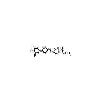 CC[SiH2][C@H]1CC[C@H](CCc2ccc(-c3cc(F)c(F)c(F)c3)cc2)CC1